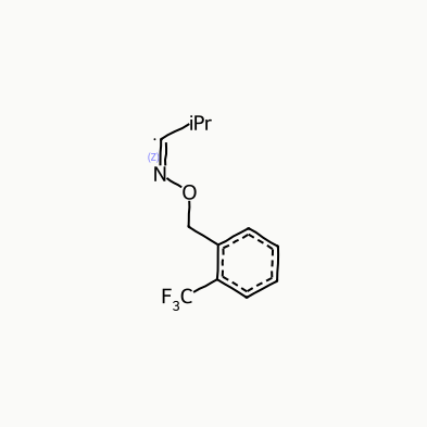 CC(C)/[C]=N\OCc1ccccc1C(F)(F)F